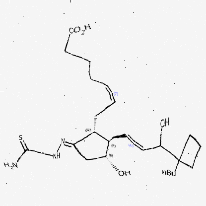 CCCCC1(C(O)/C=C/[C@H]2[C@H](O)CC(=NNC(N)=S)[C@@H]2C/C=C\CCCC(=O)O)CCC1